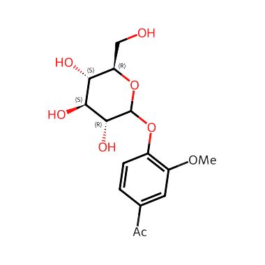 COc1cc(C(C)=O)ccc1OC1O[C@H](CO)[C@@H](O)[C@H](O)[C@H]1O